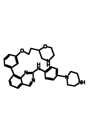 c1cc(OCCC2CNCCO2)cc(-c2cccc3cnc(Nc4ccc(N5CCNCC5)cc4)nc23)c1